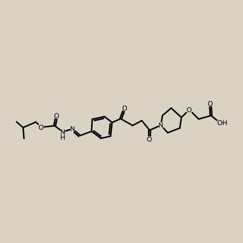 CC(C)COC(=O)NN=Cc1ccc(C(=O)CCC(=O)N2CCC(OCC(=O)O)CC2)cc1